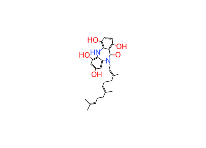 CC(C)=CCC/C(C)=C/CC/C(C)=C/CN1C(=O)c2c(O)ccc(O)c2Nc2c(O)cc(O)cc21